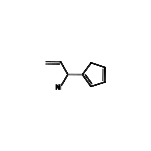 C=C[CH]([Ni])C1=CC=CC1